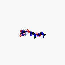 Cn1c(=O)n(C2CCC(=O)NC2=O)c2ccc(CNC(=O)COCCNCc3ccc(-n4cc(NC(=O)c5coc(-c6ccnc(NCC7CC7)c6)n5)c(C(F)F)n4)cc3)cc21